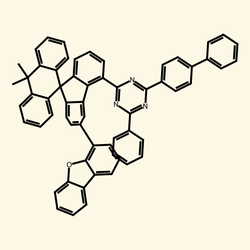 CC1(C)c2ccccc2C2(c3ccc(-c4cccc5c4oc4ccccc45)cc3-c3c(-c4nc(-c5ccccc5)nc(-c5ccc(-c6ccccc6)cc5)n4)cccc32)c2ccccc21